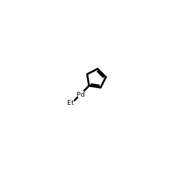 C[CH2][Pd][C]1=CC=CC1